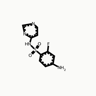 Nc1ccc(S(=O)(=O)Nc2ccncn2)c(F)c1